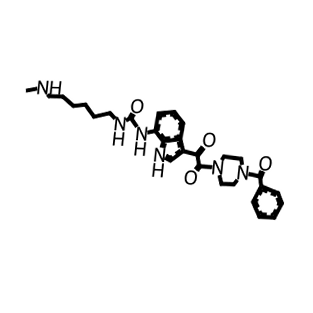 CNCCCCCCNC(=O)Nc1cccc2c(C(=O)C(=O)N3CCN(C(=O)c4ccccc4)CC3)c[nH]c12